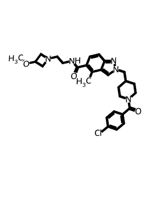 COC1CN(CCNC(=O)c2ccc3nn(CC4CCN(C(=O)c5ccc(Cl)cc5)CC4)cc3c2C)C1